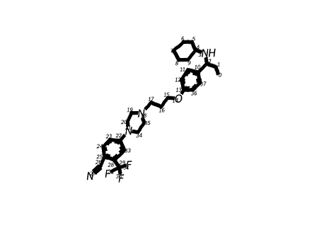 CCC(NC1CCCCC1)c1ccc(OCCCN2CCN(c3ccc(C#N)c(C(F)(F)F)c3)CC2)cc1